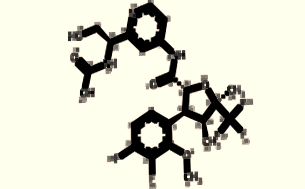 COc1c([C@H]2[C@H](C(=O)Nc3ccnc([C@H](CO)NC(=O)O)c3)O[C@@](C)(C(F)(F)F)[C@H]2C)ccc(F)c1F